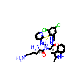 Cc1[nH]c2ccccc2c1C[C@@H](C(=O)NCc1cc(Cl)cc(Cl)c1Sc1ncccc1N)N(C)C(=O)[C@@H](N)CCCCN